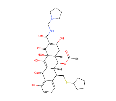 CCC(=O)O[C@H]1[C@H]2C(=C(O)[C@]3(O)C(=O)C(C(=O)NCN4CCCC4)=C(O)C[C@H]13)C(=O)c1c(O)cccc1[C@@H]2CSC1CCCC1